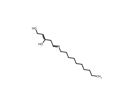 CCCCCCCCCCN=CCC(O)=CCO